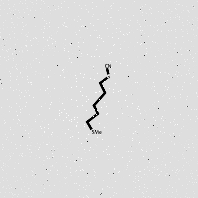 CSCCCCCSC#N